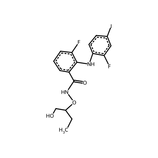 CCC(CO)ONC(=O)c1cccc(F)c1Nc1ccc(I)cc1F